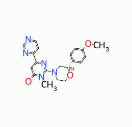 COc1ccc([C@H]2CN(c3nc(-c4ccncn4)cc(=O)n3C)CCO2)cc1